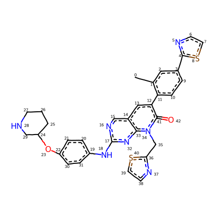 Cc1cc(-c2nccs2)ccc1-c1cc2cnc(Nc3ccc(OC4CCCNC4)cc3)nc2n(Cc2nccs2)c1=O